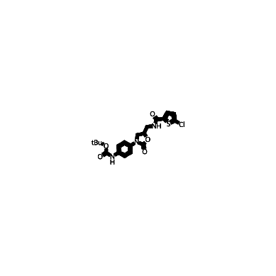 CC(C)(C)OC(=O)Nc1ccc(N2CC(CNC(=O)c3ccc(Cl)s3)OC2=O)cc1